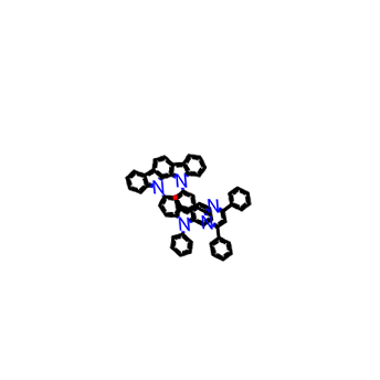 c1ccc(-c2cc(-c3ccccc3)nc(-c3cccc(-n4c5ccccc5c5ccc6c7ccccc7n(-c7ccc8c(c7)c7ccccc7n8-c7ccccc7)c6c54)c3)n2)cc1